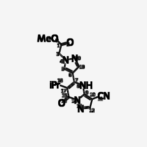 COC(=O)Cn1cc(-c2[nH]c3c(C#N)cnn3c(=O)c2C(C)C)cn1